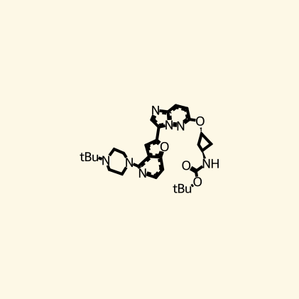 CC(C)(C)OC(=O)N[C@H]1C[C@H](Oc2ccc3ncc(-c4cc5c(N6CCN(C(C)(C)C)CC6)nccc5o4)n3n2)C1